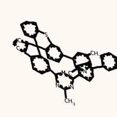 Cc1cnc(C)c(-c2ccc3c(c2)Sc2ccccc2C32c3ccccc3-c3ccc(-c4nc(C)nc(-c5ccc(-c6ccccc6)cc5)n4)cc32)c1